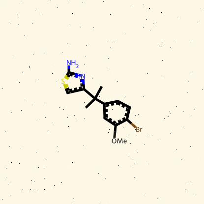 COc1cc(C(C)(C)c2csc(N)n2)ccc1Br